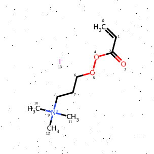 C=CC(=O)OOCCC[N+](C)(C)C.[I-]